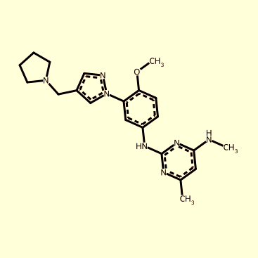 CNc1cc(C)nc(Nc2ccc(OC)c(-n3cc(CN4CCCC4)cn3)c2)n1